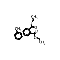 CCOC(=O)c1ccccc1C(=O)OCC.Cc1ccccc1